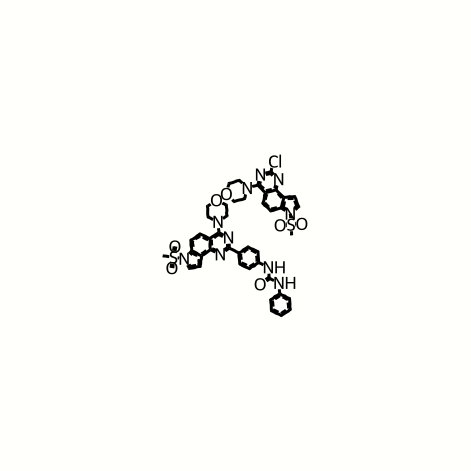 CS(=O)(=O)n1ccc2c3nc(-c4ccc(NC(=O)Nc5ccccc5)cc4)nc(N4CCOCC4)c3ccc21.CS(=O)(=O)n1ccc2c3nc(Cl)nc(N4CCOCC4)c3ccc21